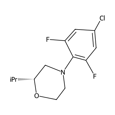 CC(C)[C@@H]1CN(c2c(F)cc(Cl)cc2F)CCO1